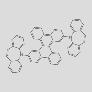 C1=CC2C=Cc3ccccc3N(c3ccc4c5ccccc5c5c6cc(N7c8ccccc8C=Cc8ccccc87)ccc6c6ccccc6c5c4c3)C2C=C1